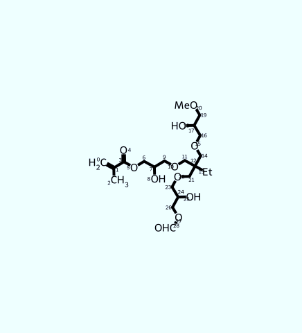 C=C(C)C(=O)OCC(O)COCC(CC)(COCC(O)COC)COCC(O)COC=O